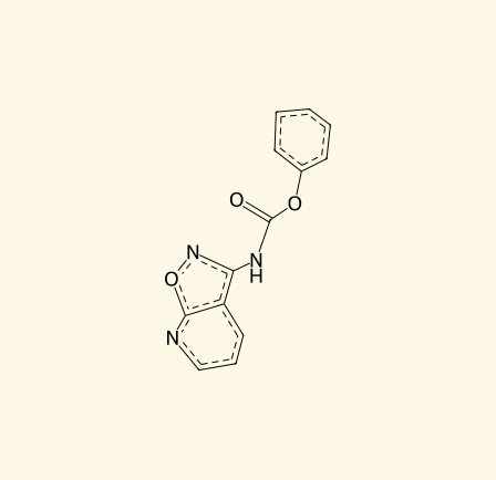 O=C(Nc1noc2ncccc12)Oc1ccccc1